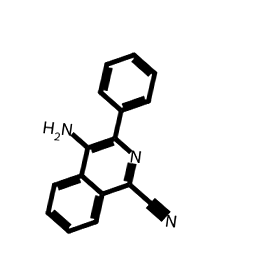 N#Cc1nc(-c2ccccc2)c(N)c2ccccc12